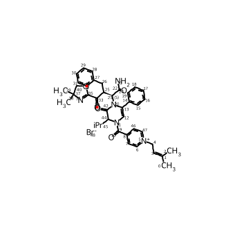 CC(C)=CC[n+]1ccc(C(=O)N2C=C(c3ccccc3)N([C@H](C(N)=O)C(Cc3ccccc3)C(=O)C3=NC(C)(C)CO3)C(=O)C2C(C)C)cc1.[Br-]